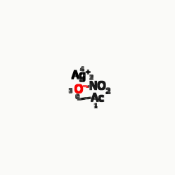 CC(C)=O.O=[N+]([O-])[O-].[Ag+]